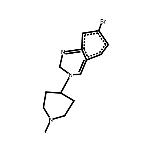 CN1CCC(N2C=c3ccc(Br)cc3=NC2)CC1